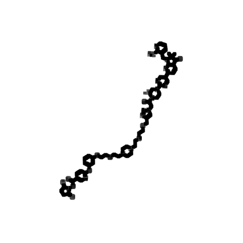 C[C@@H]1CN(c2ncc(-c3ccc4c(n3)N(Cc3cccnc3C#N)C(C)(C)C4=O)cn2)CCN1C(=O)Cn1cc(COCCOCCN2CCN(CCOCCOc3cccc(Oc4ccc(C(=O)ON5C(=O)CCC5=O)cn4)c3)CC2)nn1